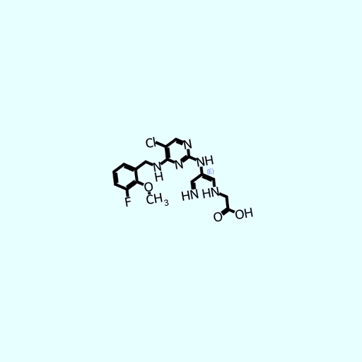 COc1c(F)cccc1CNc1nc(N/C(C=N)=C/NCC(=O)O)ncc1Cl